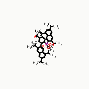 CC(=O)c1ccc(P(O)(O)(O)c2cc3c(C(C)C)cc(C(C)C)cc3cc2C(C)C)c(-c2cc3c(C(C)C)cc(C(C)C)cc3cc2C(C)C)c1